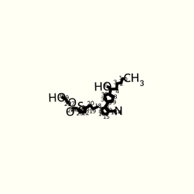 CCCCCC(O)C1=CC=C(C2=C(C#N)CC[C@@H]2CCCc2ccc(C(=O)OCCO)s2)CC1